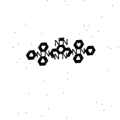 c1ccc(N2c3ccccc3N(c3cnc4c(c3)c3nccnc3c3cc(N5c6ccccc6N(c6ccccc6)c6ccccc65)cnc34)c3ccccc32)cc1